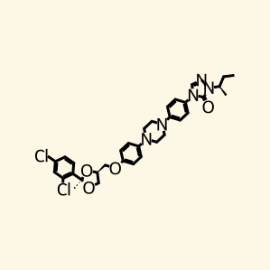 CC[C@@H](C)n1ncn(-c2ccc(N3CCN(c4ccc(OC[C@H]5CO[C@@](C)(c6ccc(Cl)cc6Cl)O5)cc4)CC3)cc2)c1=O